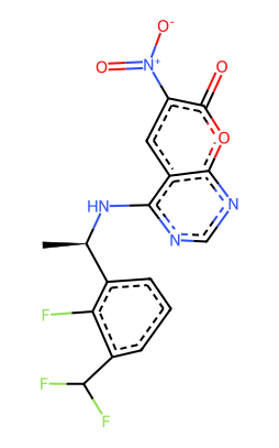 C[C@@H](Nc1ncnc2oc(=O)c([N+](=O)[O-])cc12)c1cccc(C(F)F)c1F